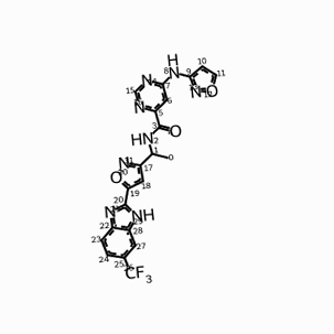 CC(NC(=O)c1cc(Nc2ccon2)ncn1)c1cc(-c2nc3ccc(C(F)(F)F)cc3[nH]2)on1